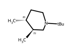 C[C@@H]1CCN(C(C)(C)C)C[C@H]1C